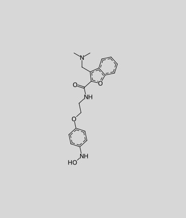 CN(C)Cc1c(C(=O)NCCOc2ccc(NO)cc2)oc2ccccc12